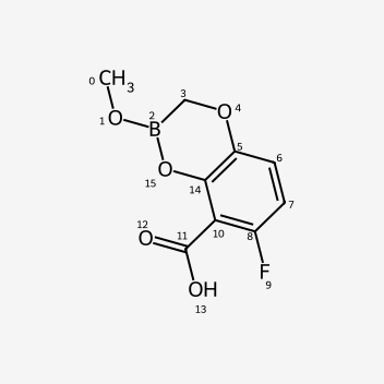 COB1COc2ccc(F)c(C(=O)O)c2O1